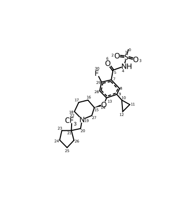 CS(=O)(=O)NC(=O)c1cc(C2CC2)c(O[C@@H]2CCCN(CC3(C(F)(F)F)CCCC3)C2)cc1F